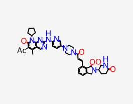 CC(=O)c1c(C)c2cnc(Nc3ccc(N4CCN(C(=O)C=Cc5cccc6c5C(=O)N(C5CCC(=O)NC5=O)C6)CC4)cn3)nc2n(C2CCCC2)c1=O